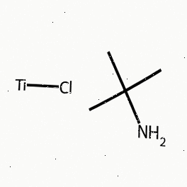 CC(C)(C)N.[Cl][Ti]